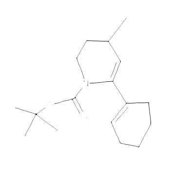 CC1C=C(C2=CCCCC2)N(C(=O)OC(C)(C)C)CC1